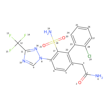 NC(=O)Cc1ccc(-n2cnc(C(F)(F)F)n2)c(S(N)(=O)=O)c1-c1ccccc1Cl